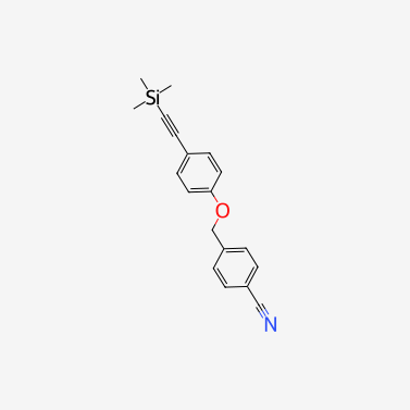 C[Si](C)(C)C#Cc1ccc(OCc2ccc(C#N)cc2)cc1